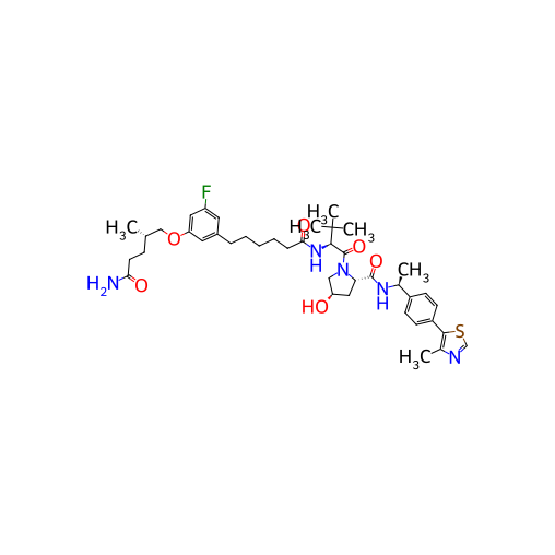 Cc1ncsc1-c1ccc([C@H](C)NC(=O)[C@@H]2C[C@@H](O)CN2C(=O)[C@@H](NC(=O)CCCCCc2cc(F)cc(OC[C@@H](C)CCC(N)=O)c2)C(C)(C)C)cc1